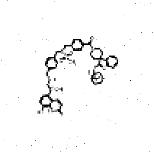 CS(=O)(=O)N(Cc1ccc(CNC[C@H](O)c2ccc(O)c3[nH]c(=O)ccc23)cc1)Cc1ccc(C(=O)N2CCC(C(=O)O[C@H]3CN4CCC3CC4)(c3ccccc3)CC2)cc1